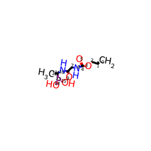 C=CCOC(=O)NCC(=O)NC(C)P(O)O